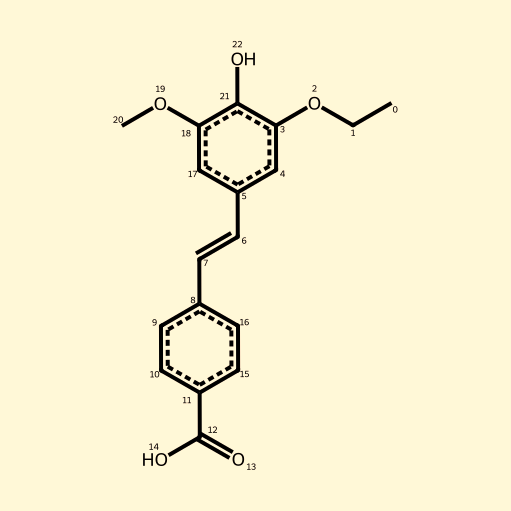 CCOc1cc(C=Cc2ccc(C(=O)O)cc2)cc(OC)c1O